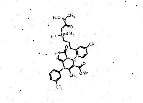 COC(=O)C1=C(C)N(c2cccc(C(F)(F)F)c2)c2n[nH]c(=O)n2[C@@H]1c1ccc(C#N)cc1CCC[N+](C)(C)CC(=O)N(C)C